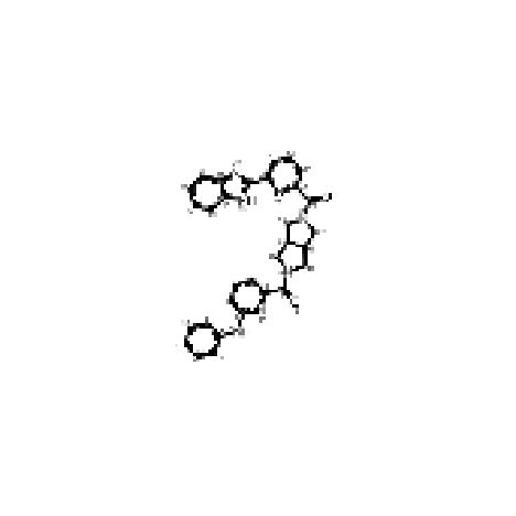 O=C(c1cccc(Nc2ccccc2)n1)N1CC2CN(C(=O)c3cccc(-c4nc5ccccc5[nH]4)n3)CC2C1